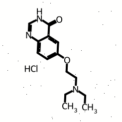 CCN(CC)CCOc1ccc2nc[nH]c(=O)c2c1.Cl